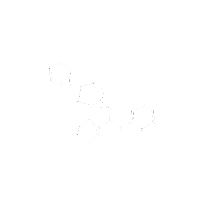 CCc1ccc(C(Cc2ccccc2)NN2CCC(c3ccccc3)CC2)cc1